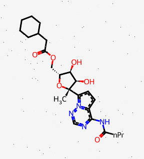 CCCC(=O)Nc1ncnn2c([C@]3(C)O[C@H](COC(=O)CC4CCCCC4)[C@@H](O)[C@H]3O)ccc12